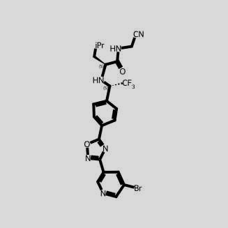 CC(C)C[C@H](N[C@@H](c1ccc(-c2nc(-c3cncc(Br)c3)no2)cc1)C(F)(F)F)C(=O)NCC#N